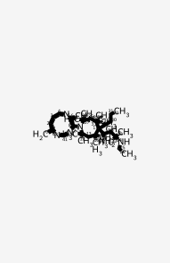 C=c1cccnc(=C)c(N2C(C)(C)CC(C)(C)C(C(N)CC(C)(C)NCC)(C(C)(C)CCC)C(C)(C)CC2(C)C)ncn1